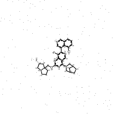 Fc1c(-c2cncc3cccc(Cl)c23)ncc2c(N3CC4CCC(C4)C3)nc(OCC34CCCN3C[C@H](F)C4)nc12